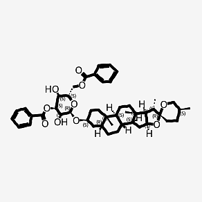 C[C@H]1CC[C@@]2(OC1)O[C@H]1C[C@H]3[C@@H]4CC[C@@H]5C[C@@H](O[C@@H]6O[C@@H](COC(=O)c7ccccc7)[C@H](O)[C@H](OC(=O)c7ccccc7)[C@@H]6O)CC[C@]5(C)[C@H]4CC[C@]3(C)[C@H]1[C@@H]2C